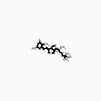 C=C1/C(=C\C=C2CCC[C@@]3(C)C2CC[C@@H]3[C@H](C)CCCC(C)(C)O)C[C@@H](O)CC1F